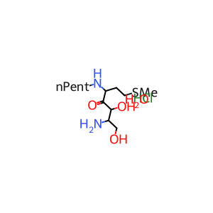 CCCCCNC(CCSC)C(=O)C(O)C(N)CO.Cl.O